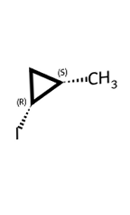 C[C@H]1C[C@H]1I